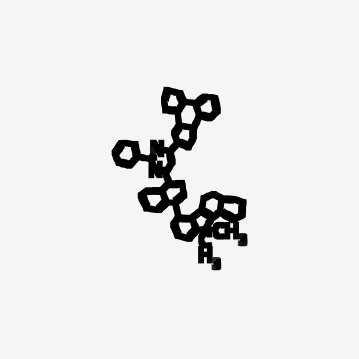 CC1(C)C2=C(CCc3ccccc32)c2c(-c3ccc(-c4cc(-c5ccc6c7ccccc7c7ccccc7c6c5)nc(-c5ccccc5)n4)c4ccccc34)cccc21